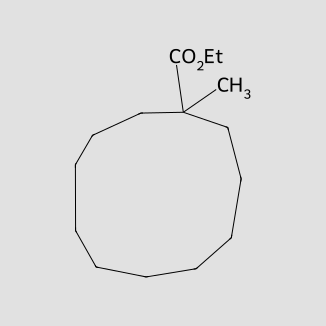 CCOC(=O)C1(C)CCCCCCCCCC1